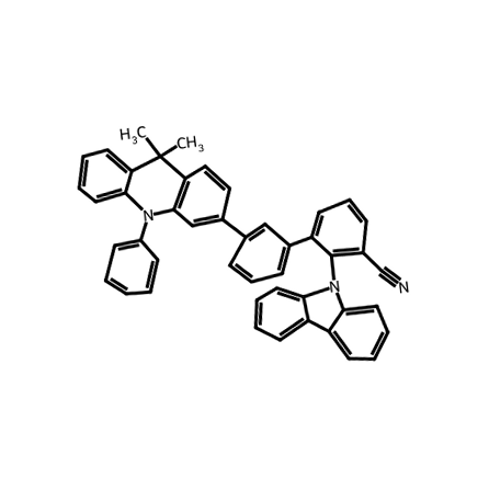 CC1(C)c2ccccc2N(c2ccccc2)c2cc(-c3cccc(-c4cccc(C#N)c4-n4c5ccccc5c5ccccc54)c3)ccc21